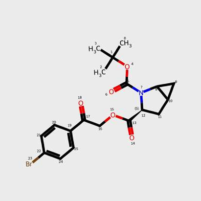 CC(C)(C)OC(=O)N1C2CC2C[C@H]1C(=O)OCC(=O)c1ccc(Br)cc1